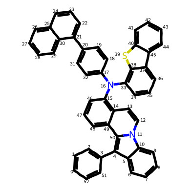 c1ccc(-c2c3ccccc3n3ccc4c(N(c5ccc(-c6cccc7ccccc67)cc5)c5cccc6c5sc5ccccc56)cccc4c23)cc1